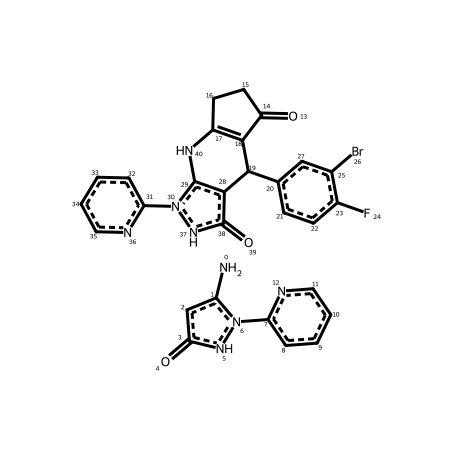 Nc1cc(=O)[nH]n1-c1ccccn1.O=C1CCC2=C1C(c1ccc(F)c(Br)c1)c1c(n(-c3ccccn3)[nH]c1=O)N2